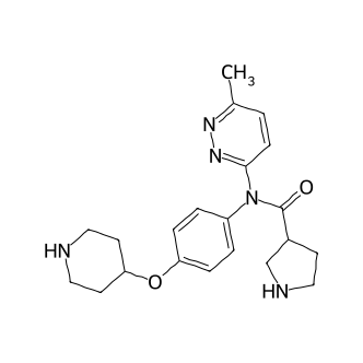 Cc1ccc(N(C(=O)C2CCNC2)c2ccc(OC3CCNCC3)cc2)nn1